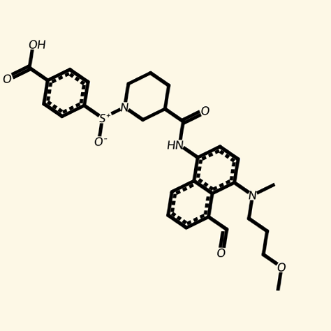 COCCCN(C)c1ccc(NC(=O)C2CCCN([S+]([O-])c3ccc(C(=O)O)cc3)C2)c2cccc(C=O)c12